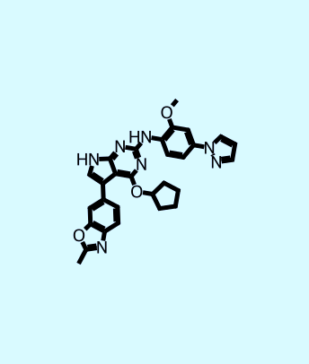 COc1cc(-n2cccn2)ccc1Nc1nc(OC2CCCC2)c2c(-c3ccc4nc(C)oc4c3)c[nH]c2n1